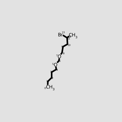 CCCCCOCOCCCC(C)Br